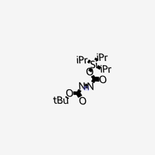 CC(C)[Si](OC(=O)/N=N/C(=O)OC(C)(C)C)(C(C)C)C(C)C